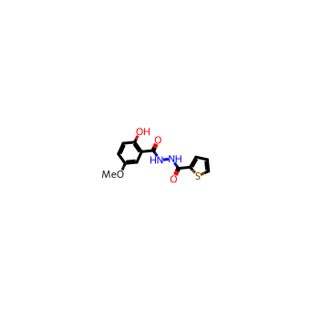 COc1ccc(O)c(C(=O)NNC(=O)c2cccs2)c1